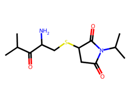 CC(C)C(=O)C(N)CSC1CC(=O)N(C(C)C)C1=O